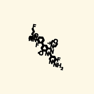 COc1cc(-c2cccc(NS(=O)(=O)CCCF)c2F)cc2c(N3CCOC[C@H]3C)nc(-c3cnc(N)c(F)c3)nc12